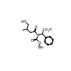 CC(CO)CC(=O)N(C(=O)OC(C)(C)C)C(C(=O)O)c1ccccc1